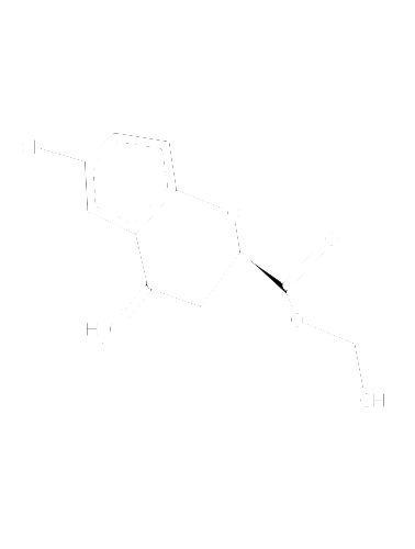 C=C1C[C@H](C(=O)OCC)Oc2ccc(Cl)cc21